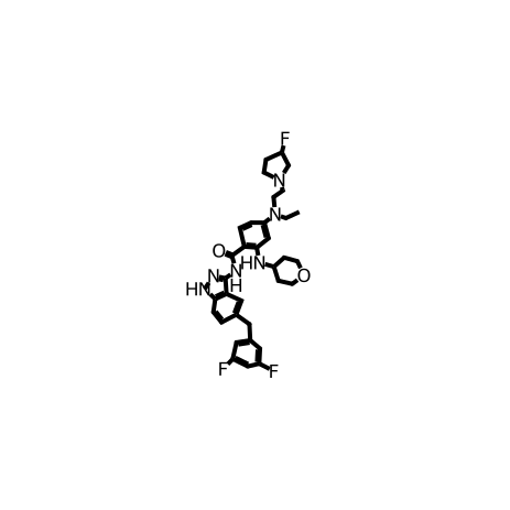 CCN(CCN1CCC(F)C1)c1ccc(C(=O)Nc2n[nH]c3ccc(Cc4cc(F)cc(F)c4)cc23)c(NC2CCOCC2)c1